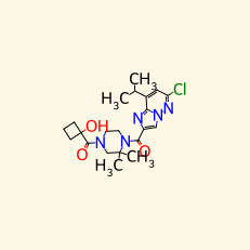 CC(C)c1cc(Cl)nn2cc(C(=O)N3CCN(C(=O)C4(O)CCC4)CC3(C)C)nc12